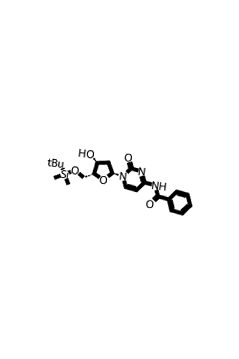 CC(C)(C)[Si](C)(C)OC[C@H]1O[C@@H](n2ccc(NC(=O)c3ccccc3)nc2=O)C[C@H]1O